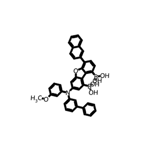 COc1cccc(N(c2cccc(-c3ccccc3)c2)c2cc(B(O)O)c3c(c2)oc2c(-c4ccc5ccccc5c4)ccc(B(O)O)c23)c1